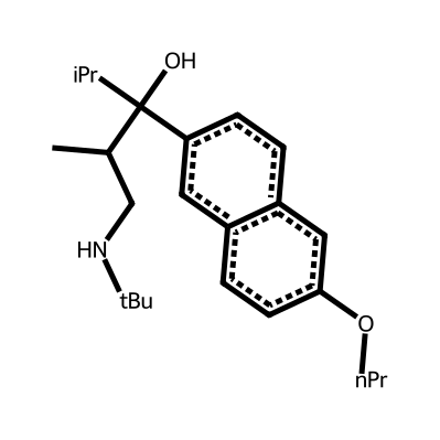 CCCOc1ccc2cc(C(O)(C(C)C)C(C)CNC(C)(C)C)ccc2c1